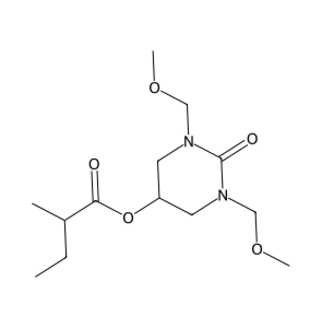 CCC(C)C(=O)OC1CN(COC)C(=O)N(COC)C1